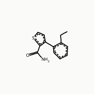 CCc1ccccc1-c1ccsc1C(N)=O